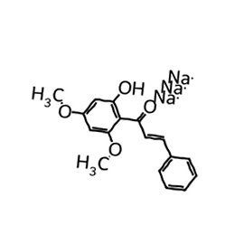 COc1cc(O)c(C(=O)C=Cc2ccccc2)c(OC)c1.[Na].[Na].[Na]